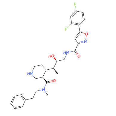 C[C@@H]([C@H]1CCNC[C@@H]1C(=O)N(C)CCc1ccccc1)[C@@H](O)CNC(=O)c1cc(-c2ccc(F)cc2F)on1